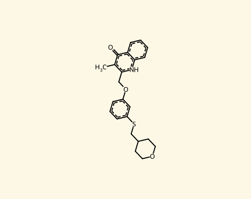 Cc1c(COc2cccc(SCC3CCOCC3)c2)[nH]c2ccccc2c1=O